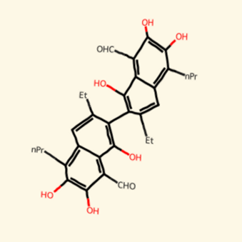 CCCc1c(O)c(O)c(C=O)c2c(O)c(-c3c(CC)cc4c(CCC)c(O)c(O)c(C=O)c4c3O)c(CC)cc12